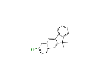 CC1(C)c2ccccc2-c2cc3cc(Cl)ccc3cc21